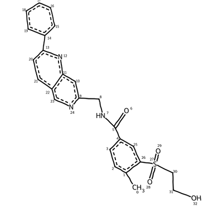 Cc1ccc(C(=O)NCc2cc3nc(-c4ccccc4)ccc3cn2)cc1S(=O)(=O)CCO